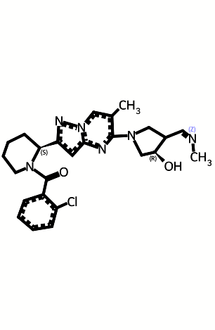 C/N=C\C1CN(c2nc3cc([C@@H]4CCCCN4C(=O)c4ccccc4Cl)nn3cc2C)C[C@@H]1O